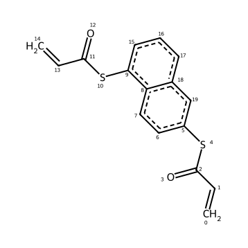 C=CC(=O)Sc1ccc2c(SC(=O)C=C)cccc2c1